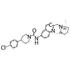 C[C@@H]1CCC[C@H](C)N1Cc1ccc2cc(NC(=O)N3CCC(c4ccc(Cl)cc4)CC3)ccc2n1